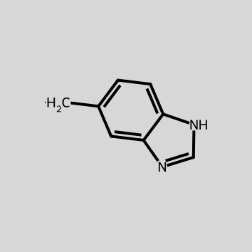 [CH2]c1ccc2[nH]cnc2c1